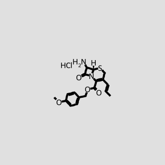 CC=CC1=C(C(=O)OCc2ccc(OC)cc2)N2C(=O)C(N)[C@@H]2SC1.Cl